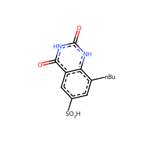 CCCCc1cc(S(=O)(=O)O)cc2c(=O)[nH]c(=O)[nH]c12